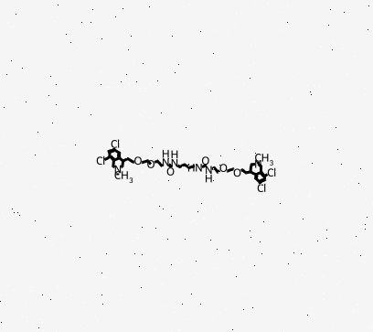 CN1Cc2c(Cl)cc(Cl)cc2C(CCOCCOCCNC(=O)NCCCCNC(=O)NCCOCCOCCC2CN(C)Cc3c(Cl)cc(Cl)cc32)C1